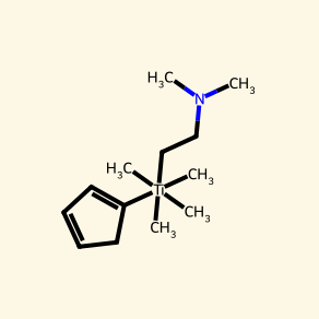 CN(C)C[CH2][Ti]([CH3])([CH3])([CH3])([CH3])[C]1=CC=CC1